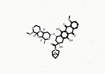 COc1cccc2c1C(=O)c1c(O)c3c(c(O)c1C2=O)C[C@@](O)(C(=O)N1CC2CC(C1)N2)C[C@@H]3O[C@H]1C[C@H]2[C@H](O[C@@H]3[C@@H](OC)OCCN32)[C@H](C)O1